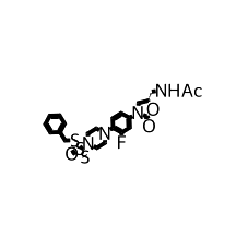 CC(=O)NC[C@H]1CN(c2ccc(N3CCN([S@](=O)(=S)SCc4ccccc4)CC3)c(F)c2)C(=O)O1